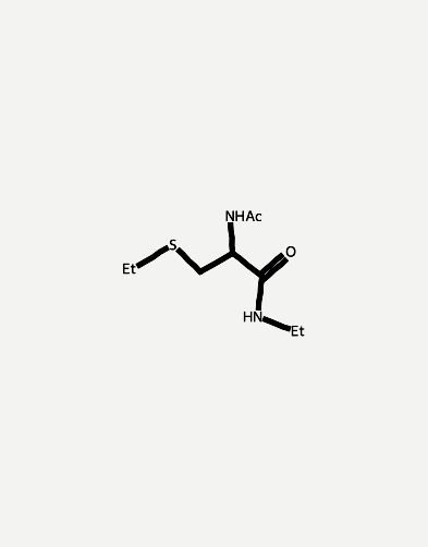 CCNC(=O)C(CSCC)NC(C)=O